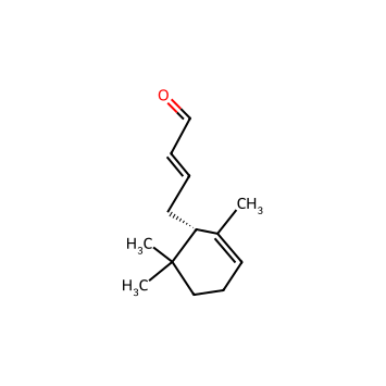 CC1=CCCC(C)(C)[C@@H]1C/C=C/C=O